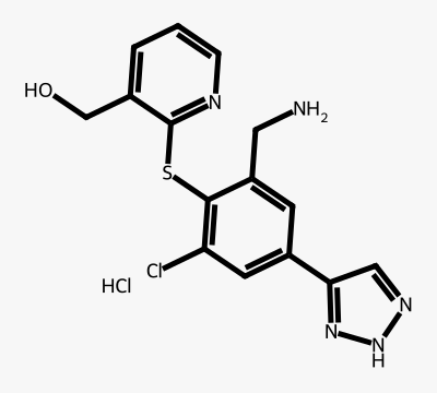 Cl.NCc1cc(-c2cn[nH]n2)cc(Cl)c1Sc1ncccc1CO